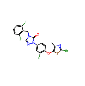 Cc1nc(Br)sc1Oc1ccc(-n2ncn(Cc3c(F)cccc3F)c2=O)cc1F